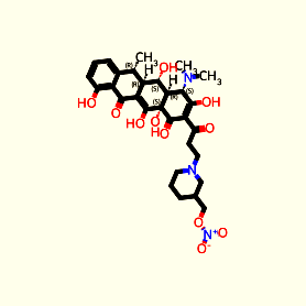 C[C@H]1c2cccc(O)c2C(=O)C2=C(O)[C@]3(O)C(=O)C(C(=O)CCN4CCCC(CO[N+](=O)[O-])C4)=C(O)[C@@H](N(C)C)[C@@H]3[C@@H](O)[C@@H]21